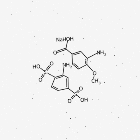 COc1ccc(C(=O)O)cc1N.Nc1cc(S(=O)(=O)O)ccc1S(=O)(=O)O.[NaH]